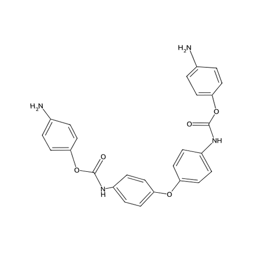 Nc1ccc(OC(=O)Nc2ccc(Oc3ccc(NC(=O)Oc4ccc(N)cc4)cc3)cc2)cc1